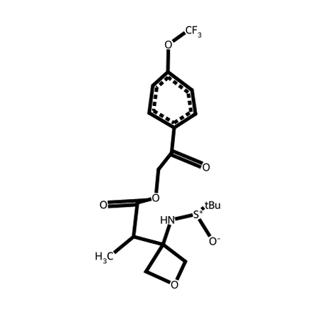 CC(C(=O)OCC(=O)c1ccc(OC(F)(F)F)cc1)C1(N[S+]([O-])C(C)(C)C)COC1